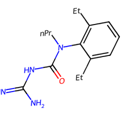 CCCN(C(=O)NC(=N)N)c1c(CC)cccc1CC